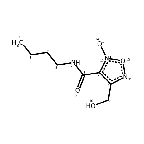 CCCCNC(=O)c1c(CO)no[n+]1[O-]